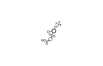 O=C(O)[C@@H]1CC[C@H](S(=O)(=O)c2ccc(OCC(F)(F)F)cc2Cl)C1